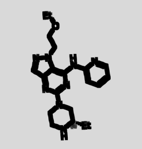 CCOCCn1ncc2nc(N3CCN[C@@H](CC)C3)nc(Nc3ccccn3)c21